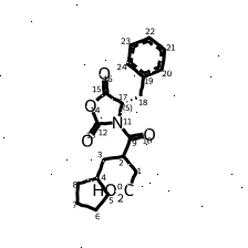 O=C(O)CC(CC1CCCC1)C(=O)N1C(=O)OC(=O)[C@@H]1Cc1ccccc1